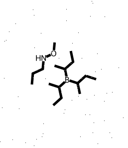 CCC(C)B(C(C)CC)C(C)CC.CCCNOC